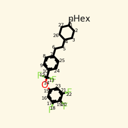 CCCCCCC1CCC(CCc2ccc(C(F)(F)Oc3cc(F)c(F)c(F)c3)cc2)CC1